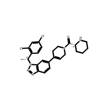 C[C@H](c1ccc(Cl)cc1Cl)n1nnc2ccc(C3=CCN(C(=O)[C@H]4CCCCN4)CC3)cc21